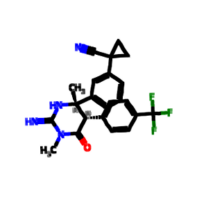 CN1C(=N)N[C@](C)(c2cccc(C3(C#N)CC3)c2)[C@H](c2ccc(C(F)(F)F)cc2)C1=O